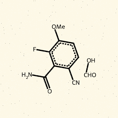 COc1ccc(C#N)c(C(N)=O)c1F.O=CO